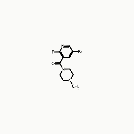 CN1CCN(C(=O)c2cc(Br)cnc2F)CC1